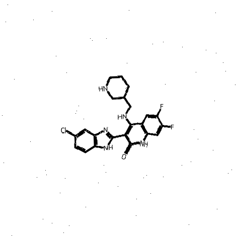 O=c1[nH]c2cc(F)c(F)cc2c(NCC2CCCNC2)c1-c1nc2cc(Cl)ccc2[nH]1